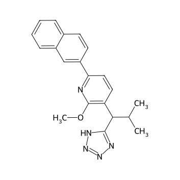 COc1nc(-c2ccc3ccccc3c2)ccc1C(c1nnn[nH]1)C(C)C